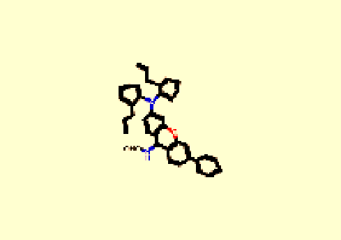 C=CCc1ccccc1N(c1ccc2c(c1)Oc1cc(-c3ccccc3)ccc1C2NC=O)c1ccccc1CC=C